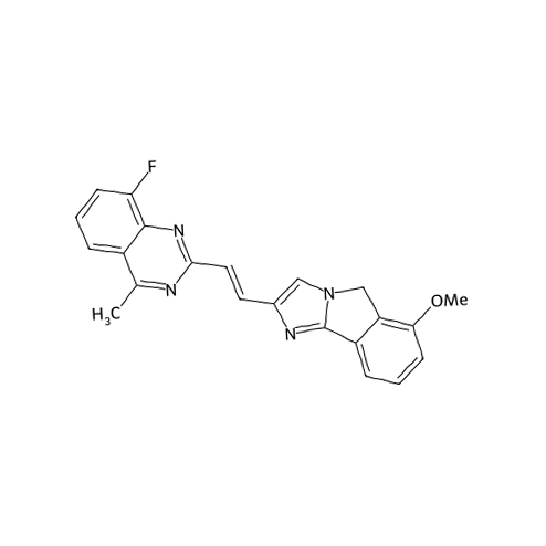 COc1cccc2c1Cn1cc(C=Cc3nc(C)c4cccc(F)c4n3)nc1-2